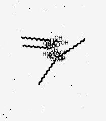 CCCCCCCCCCCCCC(=O)N[C@H]1[C@@H](OP(=O)(O)O)O[C@H](CO[C@@H]2O[C@H](CO)[C@@H](O)[C@H](OC(=O)C[C@H](O)CCCCCCCCCCC)[C@H]2NC(=O)C[C@H](O)CCCCCCCCCCC)[C@@H](O)[C@@]1(O)C(=O)CCCCCCCCCCCCC